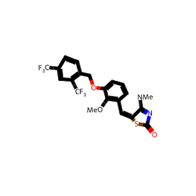 CNC1=NC(=O)SC1=Cc1cccc(OCc2ccc(C(F)(F)F)cc2C(F)(F)F)c1OC